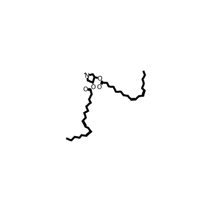 CCCCC/C=C\C/C=C\CCCCCCCC(=O)OC1CN(C)C[C@H]1OC(=O)CCCCCCC/C=C\C/C=C\CCCCC